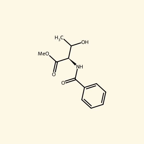 COC(=O)[C@H](NC(=O)c1ccccc1)C(C)O